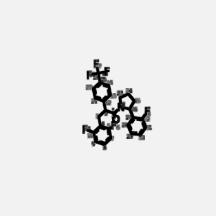 O=C(C(Cc1c(F)cccc1F)c1ccc(C(F)(F)F)cc1)N1CCCC1c1ccccc1F